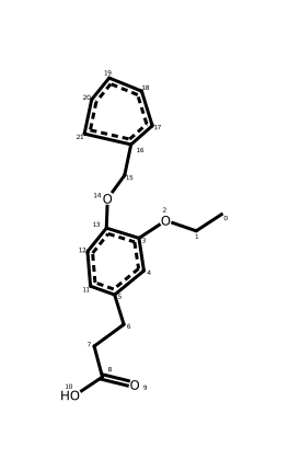 CCOc1cc(CCC(=O)O)ccc1OCc1ccccc1